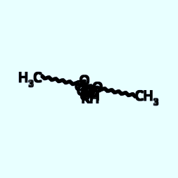 CCCCCCCCCCCCOC(=O)CC(C(=O)OCCCCCCCCCCCC)S(=O)(=O)O.[KH]